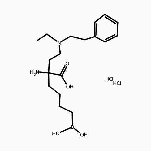 CCN(CCc1ccccc1)CCC(N)(CCCCB(O)O)C(=O)O.Cl.Cl